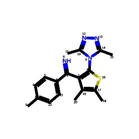 Cc1ccc(C(=N)c2c(-n3c(C)nnc3C)sc(C)c2C)cc1